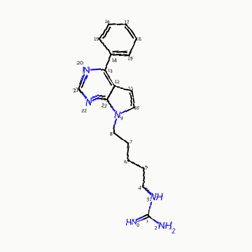 N=C(N)NCCCCCn1ccc2c(-c3ccccc3)ncnc21